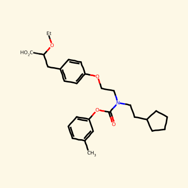 CCOC(Cc1ccc(OCCN(CCC2CCCC2)C(=O)Oc2cccc(C)c2)cc1)C(=O)O